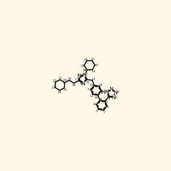 c1ccc(-c2nnn[nH]2)c(-c2ccc(Cc3nc(CCC4CCCCC4)nn3C3CCCCC3)cc2)c1